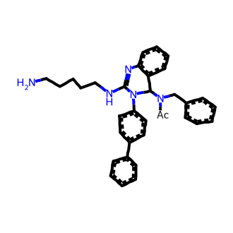 CC(=O)N(Cc1ccccc1)C1c2ccccc2N=C(NCCCCCN)N1c1ccc(-c2ccccc2)cc1